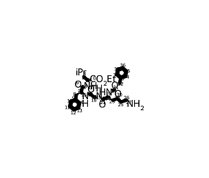 CCOC(=O)[C@H](CC(C)C)NC(=O)[C@H](Cc1ccccc1)NC(=O)CNC(=O)[C@H](CCCCN)NC(=O)OCc1ccccc1